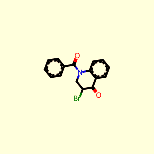 O=C1c2ccccc2N(C(=O)c2ccccc2)CC1Br